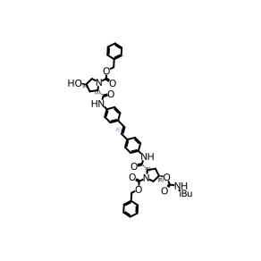 CCC(C)NC(=O)O[C@@H]1C[C@@H](C(=O)Nc2ccc(/C=C/c3ccc(NC(=O)[C@@H]4C[C@@H](O)CN4C(=O)OCc4ccccc4)cc3)cc2)N(C(=O)OCc2ccccc2)C1